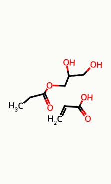 C=CC(=O)O.CCC(=O)OCC(O)CO